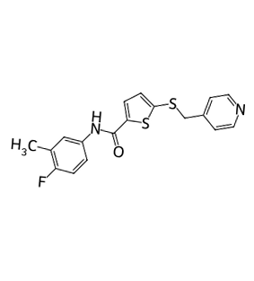 Cc1cc(NC(=O)c2ccc(SCc3ccncc3)s2)ccc1F